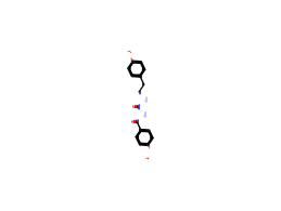 COc1ccc(CCNC(=O)NC(=O)c2ccc(OC)cc2)cc1